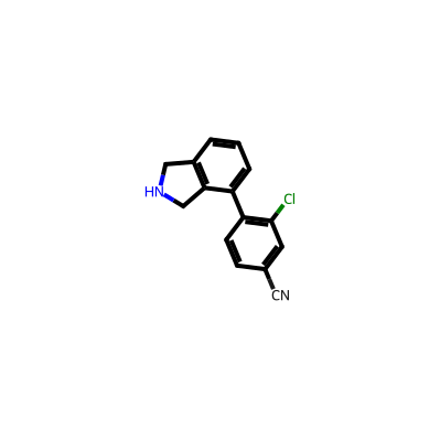 N#Cc1ccc(-c2cccc3c2CNC3)c(Cl)c1